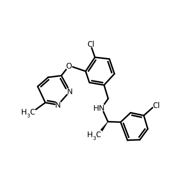 Cc1ccc(Oc2cc(CN[C@H](C)c3cccc(Cl)c3)ccc2Cl)nn1